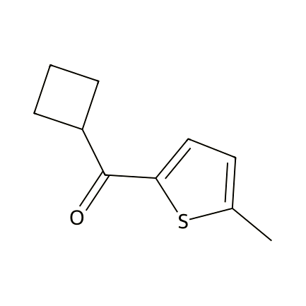 Cc1ccc(C(=O)C2CCC2)s1